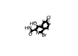 [NH]C(=O)c1nc(Br)c2ccc(Cl)cc2c1O